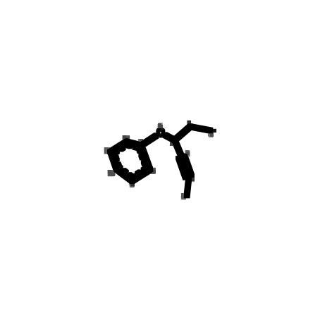 [CH2]CC(C#CC)Oc1ccccc1